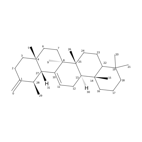 C=C1CC[C@]2(C)CC[C@]3(C)C(=CC[C@@H]4[C@@]5(C)CCCC(C)(C)C5CC[C@]43C)[C@@H]2[C@H]1C